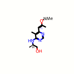 CNO/C(C)=C/c1ncnc(N[C@H](C)CO)c1C